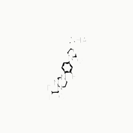 CC(=O)NC[C@H]1CN(c2ccc(N3C=NN(C(=O)C(F)F)CC3)c(F)c2)C(=O)O1